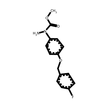 COC(=O)N(N)c1ccc(OCc2ccc(F)cc2)cc1